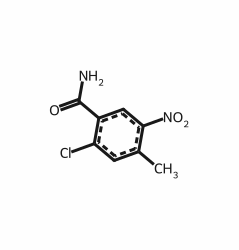 Cc1cc(Cl)c(C(N)=O)cc1[N+](=O)[O-]